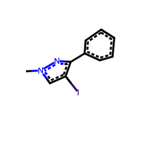 Cn1cc(I)c(-c2ccccc2)n1